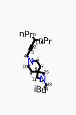 CCCC(C#CCN1CCC2(CC1)CN(CC(C)CC)C2)CCC